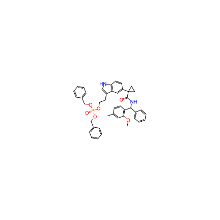 COc1cc(C)ccc1C(NC(=O)C1(c2ccc3[nH]cc(CCOP(=O)(OCc4ccccc4)OCc4ccccc4)c3c2)CC1)c1ccccc1